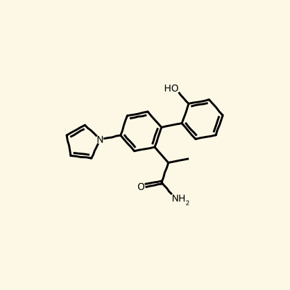 CC(C(N)=O)c1cc(-n2cccc2)ccc1-c1ccccc1O